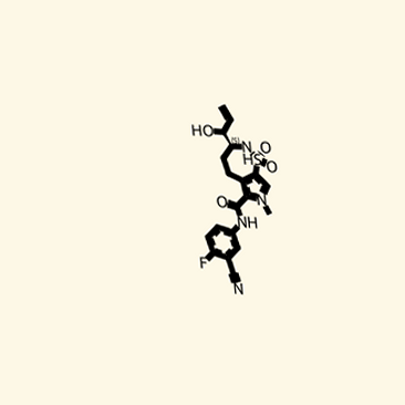 C=CC(O)[C@@H]1CCc2c(cn(C)c2C(=O)Nc2ccc(F)c(C#N)c2)S(=O)(=O)N1